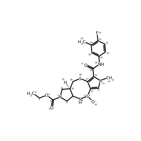 CCOC(=O)N1CC2N[S+]([O-])c3cn(C)c(C(=O)Nc4ccc(F)c(C)c4)c3SC[C@@H]2C1